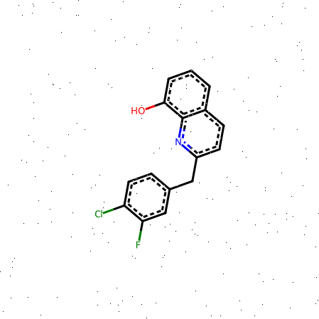 Oc1cccc2ccc(Cc3ccc(Cl)c(F)c3)nc12